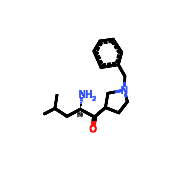 CC(C)C[C@H](N)C(=O)C1CCN(Cc2ccccc2)C1